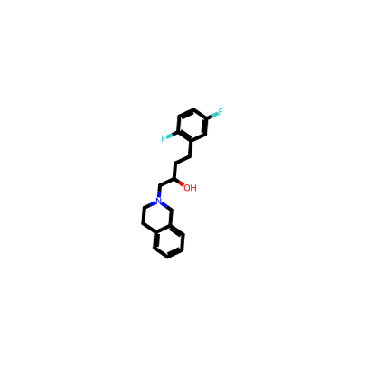 OC(CCc1cc(F)ccc1F)CN1CCc2ccccc2C1